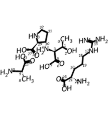 C[C@@H](O)[C@H](N)C(=O)O.C[C@H](N)C(=O)O.N=C(N)NCCC[C@H](N)C(=O)O.O=C(O)[C@@H]1CCCN1